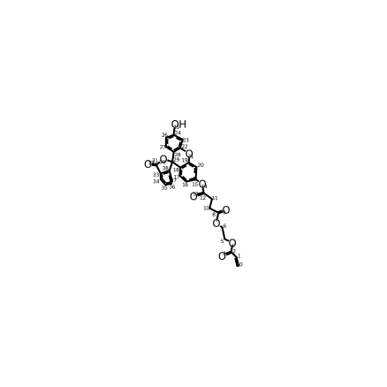 C=CC(=O)OCCOC(=O)CCC(=O)Oc1ccc2c(c1)Oc1cc(O)ccc1C21OC(=O)c2ccccc21